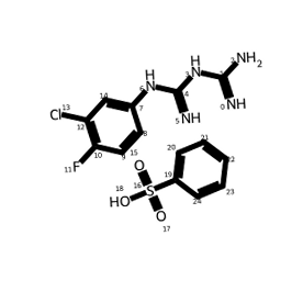 N=C(N)NC(=N)Nc1ccc(F)c(Cl)c1.O=S(=O)(O)c1ccccc1